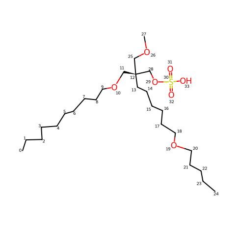 CCCCCCCCCCOC[C@@](CCCCCCOCCCCC)(COC)COS(=O)(=O)O